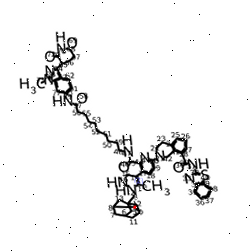 C/C(NCC12CC3CC(CC(C3)C1)C2)=C(/C=N)c1ccc(N2CCc3cccc(C(=O)Nc4nc5ccccc5s4)c3C2)nc1C(=O)NCCCCCCCCCC(=O)Nc1ccc2c(C3CCC(=O)NC3=O)nn(C)c2c1